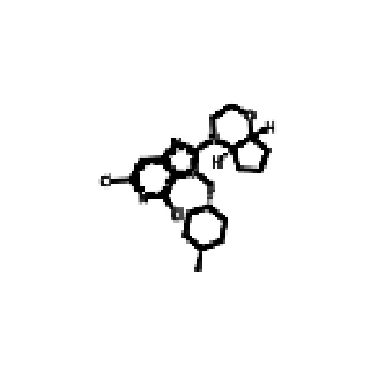 C[C@H]1CC[C@H](Cn2c(N3CCO[C@@H]4CCC[C@H]43)nc3cc(Cl)nc(Cl)c32)CC1